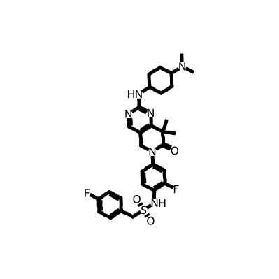 CN(C)C1CCC(Nc2ncc3c(n2)C(C)(C)C(=O)N(c2ccc(NS(=O)(=O)Cc4ccc(F)cc4)c(F)c2)C3)CC1